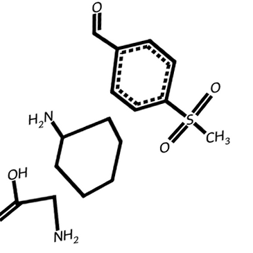 CS(=O)(=O)c1ccc(C=O)cc1.NC1CCCCC1.NCC(=O)O